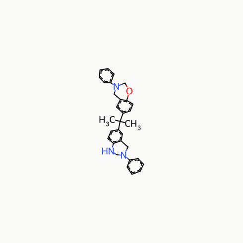 CC(C)(c1ccc2c(c1)CN(c1ccccc1)CN2)c1ccc2c(c1)CN(c1ccccc1)CO2